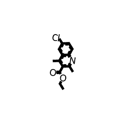 CCOC(=O)c1c(C)nc2ccc(Cl)cc2c1C